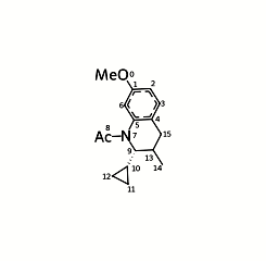 COc1ccc2c(c1)N(C(C)=O)[C@@H](C1CC1)C(C)C2